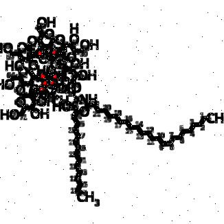 CCCCCCCC/C=C\CCCCCCCCCCCCCC(=O)N[C@@H](CO[C@@H]1OC(CO)[C@@H](O[C@@H]2OC(CO)[C@H](O)[C@H](O[C@@H]3OC(CO)[C@@H](O[C@@H]4OC(CO)[C@H](O)[C@H](O[C@@H]5OC(CO)[C@@H](O[C@@H]6OC(CO)[C@H](O)[C@H](O)C6O)[C@H](O[C@H]6OC(C)[C@@H](O)C(O)[C@@H]6O)C5NC(C)=O)C4O)[C@H](O)C3NC(C)=O)C2O)[C@H](O)C1O)[C@H](O)/C=C/CCCCCCCCCCCCC